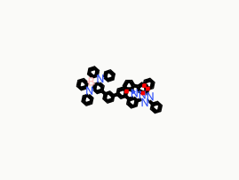 c1ccc(-c2nc(-c3ccccc3)nc(-c3cccc(-c4cccc(-c5cccc(-c6cc7c8c(c6)N(c6ccccc6)c6ccccc6B8c6ccccc6N7c6ccccc6)c5)c4)c3-n3c4ccccc4c4ccccc43)n2)cc1